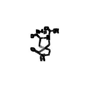 NC(=O)[C@@H]1C[C@@]2(CCNC2=O)CN1C(=O)O